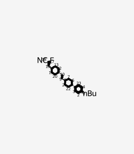 CCCCc1ccc([C@H]2CC[C@H](C=C[C@H]3CC[C@H](C=C(F)C#N)CC3)CC2)cc1